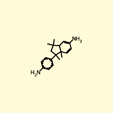 CC1(C)CC(C)(c2ccc(N)cc2)C2(C)C=CC(N)=CC12